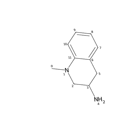 CN1CC(N)Cc2ccccc21